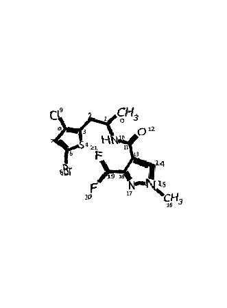 CC(Cc1sc(Br)cc1Cl)NC(=O)c1cn(C)nc1C(F)F